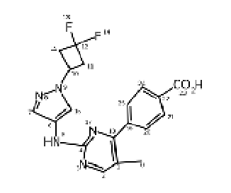 Cc1cnc(Nc2cnn(C3CC(F)(F)C3)c2)nc1-c1ccc(C(=O)O)cc1